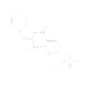 CC1(C)c2cc(N(S(C)(=O)=O)S(C)(=O)=O)ccc2C(=O)c2c1oc1cc(I)ccc21